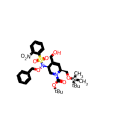 CC(C)(C)OC(=O)N1C[C@@H](N(OCc2ccccc2)S(=O)(=O)c2ccccc2[N+](=O)[O-])C(CO)=C[C@H]1CO[Si](C)(C)C(C)(C)C